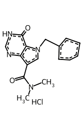 CN(C)C(=O)c1cn(Cc2ccccc2)c2c(=O)[nH]cnc12.Cl